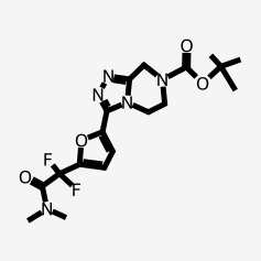 CN(C)C(=O)C(F)(F)c1ccc(-c2nnc3n2CCN(C(=O)OC(C)(C)C)C3)o1